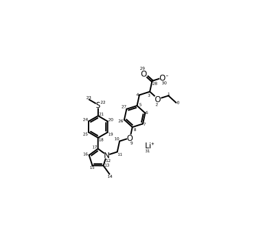 CCOC(Cc1ccc(OCCn2c(C)ccc2-c2ccc(SC)cc2)cc1)C(=O)[O-].[Li+]